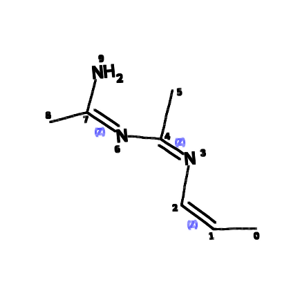 C\C=C/N=C(C)\N=C(\C)N